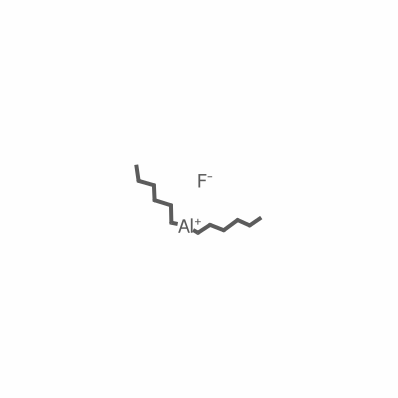 CCCCC[CH2][Al+][CH2]CCCCC.[F-]